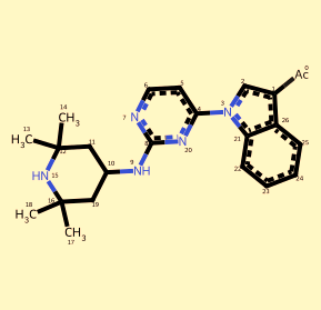 CC(=O)c1cn(-c2ccnc(NC3CC(C)(C)NC(C)(C)C3)n2)c2ccccc12